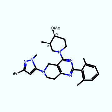 CO[C@H]1CCN(c2nc(-c3c(C)cccc3C)nc3c2CN(c2cc(C(C)C)nn2C)CC3)C[C@H]1C